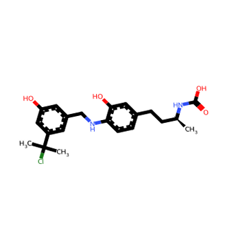 C[C@@H](CCc1ccc(NCc2cc(O)cc(C(C)(C)Cl)c2)c(O)c1)NC(=O)O